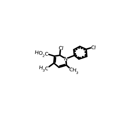 CC1=CC(C)=C(C(=O)O)C(Cl)N1c1ccc(Cl)cc1